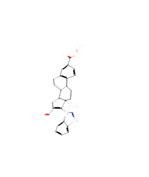 COC(=O)c1ccc2c(c1)CCC1C2CC[C@]2(C)C(n3cnc4ccccc43)=C(C=O)CC12